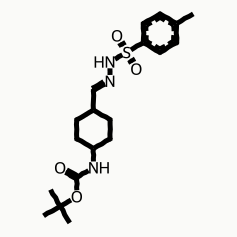 Cc1ccc(S(=O)(=O)N/N=C/C2CCC(NC(=O)OC(C)(C)C)CC2)cc1